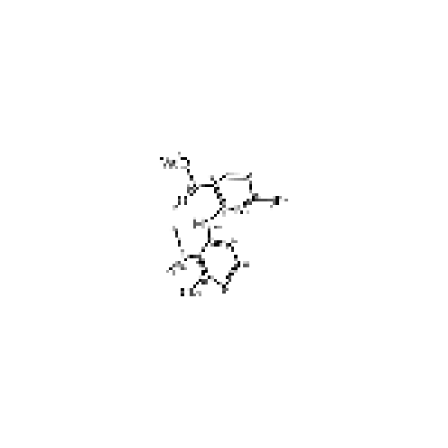 COC(=O)c1ccc(C(C)C)nc1Nc1cccc(Cl)c1N(C)C